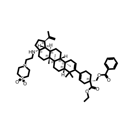 C=C(C)[C@@H]1CC[C@]2(NCCN3CCS(=O)(=O)CC3)CC[C@]3(C)[C@H](CC[C@@H]4[C@@]5(C)CC=C(C6=CC[C@](COC(=O)c7ccccc7)(C(=O)OCC)CC6)C(C)(C)[C@@H]5CC[C@]43C)[C@@H]12